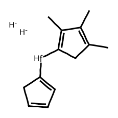 CC1=C(C)C(C)=[C]([Hf][C]2=CC=CC2)C1.[H-].[H-]